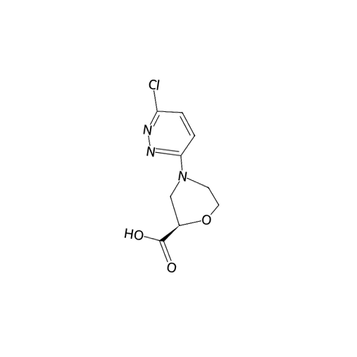 O=C(O)[C@H]1CN(c2ccc(Cl)nn2)CCO1